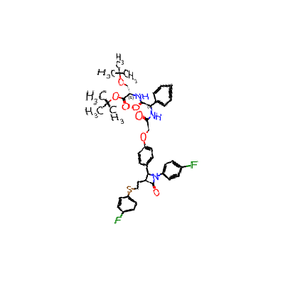 CC(C)(C)OC[C@H](NC(=O)[C@H](NC(=O)COc1ccc(C2C(CCSc3ccc(F)cc3)C(=O)N2c2ccc(F)cc2)cc1)c1ccccc1)C(=O)OC(C)(C)C